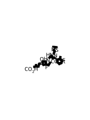 CCOC(=O)C1=C(CN2CC[C@@]3(F)CN(CCC(C)(C)C(=O)O)C(=O)[C@@H]23)NC(c2nccs2)=N[C@H]1c1cccc(F)c1C